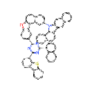 c1ccc2cc3c(cc2c1)c1ccc2ccccc2c1n3-c1ccc2ccc3oc4ccc(-c5nc(-c6cccc7ccccc67)nc(-c6cccc7c6sc6ccccc67)n5)cc4c3c2c1